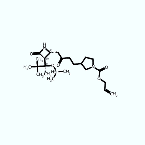 C=CCOC(=O)N1CCC(CCC(=O)C[C@H]2NC(=O)[C@@H]2[C@@](C)(O[SiH](C)C)C(C)(C)C)C1